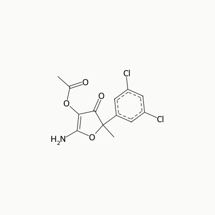 CC(=O)OC1=C(N)OC(C)(c2cc(Cl)cc(Cl)c2)C1=O